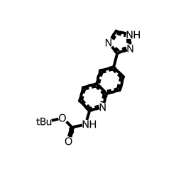 CC(C)(C)OC(=O)Nc1ccc2cc(-c3nc[nH]n3)ccc2n1